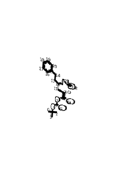 CC(C)(C)OC(=O)OC(=O)CC[C@H](CCc1ccccc1)N=O